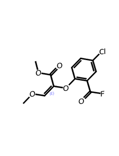 CO/C=C(/Oc1ccc(Cl)cc1C(=O)F)C(=O)OC